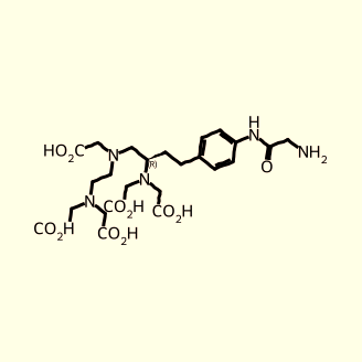 NCC(=O)Nc1ccc(CC[C@H](CN(CCN(CC(=O)O)CC(=O)O)CC(=O)O)N(CC(=O)O)CC(=O)O)cc1